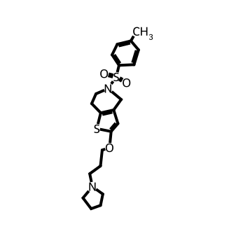 Cc1ccc(S(=O)(=O)N2CCc3sc(OCCCN4CCCC4)cc3C2)cc1